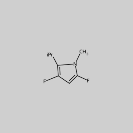 CC(C)c1c(F)cc(F)n1C